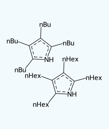 CCCCCCc1[nH]c(CCCCCC)c(CCCCCC)c1CCCCCC.CCCCc1[nH]c(CCCC)c(CCCC)c1CCCC